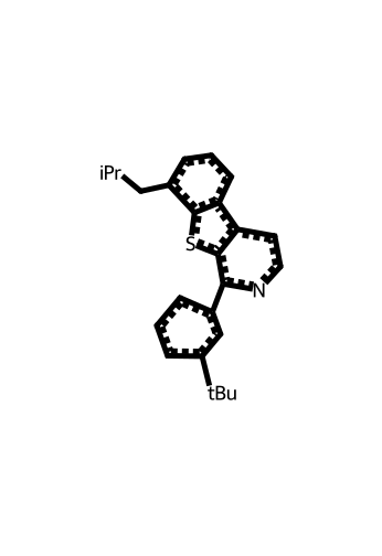 CC(C)Cc1cccc2c1sc1c(-c3cccc(C(C)(C)C)c3)nccc12